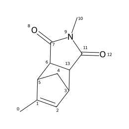 CC1=CC2CC1C1C(=O)N(C)C(=O)C21